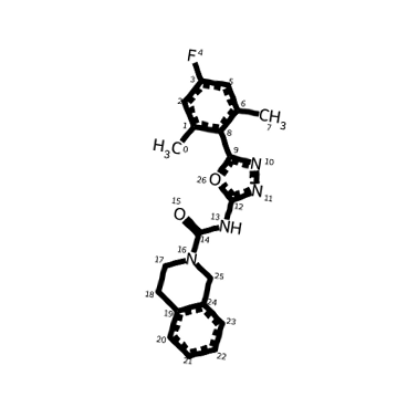 Cc1cc(F)cc(C)c1-c1nnc(NC(=O)N2CCc3ccccc3C2)o1